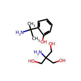 CC(C)(N)c1ccccc1O.NC(CO)(CO)CO